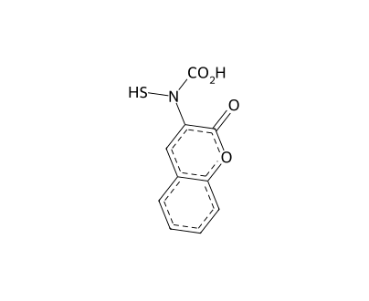 O=C(O)N(S)c1cc2ccccc2oc1=O